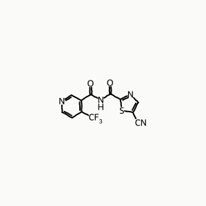 N#Cc1cnc(C(=O)NC(=O)c2cnccc2C(F)(F)F)s1